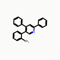 Bc1ccccc1-c1cnc(-c2ccccc2)cc1-c1ccccc1